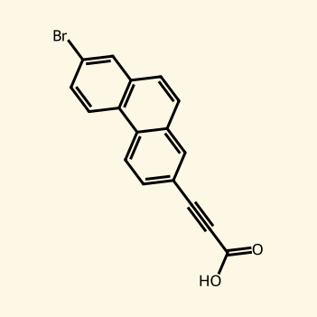 O=C(O)C#Cc1ccc2c(ccc3cc(Br)ccc32)c1